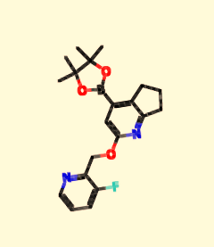 CC1(C)OB(c2cc(OCc3ncccc3F)nc3c2CCC3)OC1(C)C